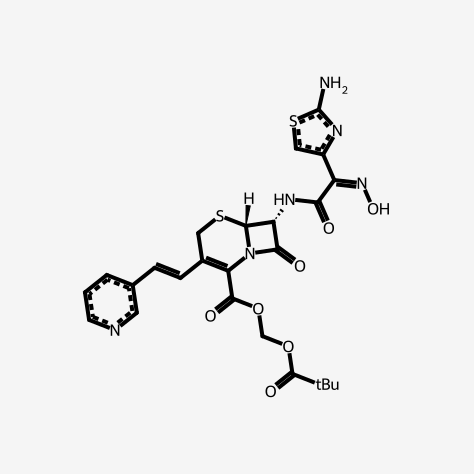 CC(C)(C)C(=O)OCOC(=O)C1=C(/C=C/c2cccnc2)CS[C@@H]2[C@H](NC(=O)/C(=N\O)c3csc(N)n3)C(=O)N12